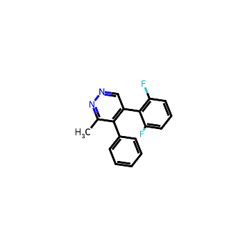 Cc1nncc(-c2c(F)cccc2F)c1-c1ccccc1